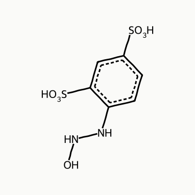 O=S(=O)(O)c1ccc(NNO)c(S(=O)(=O)O)c1